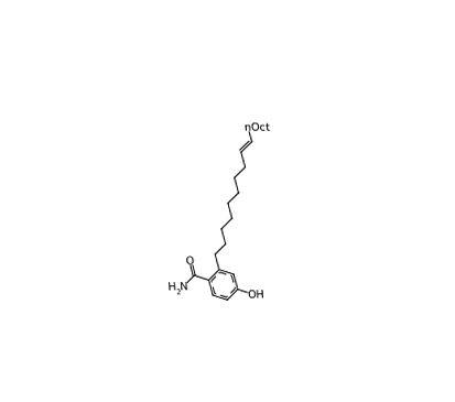 CCCCCCCCC=CCCCCCCCCc1cc(O)ccc1C(N)=O